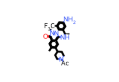 CC(=O)N1CCC(c2cc3c(N[C@H](C)c4cc(N)cc(C(F)(F)F)c4)nn(C)c(=O)c3cc2C)CC1